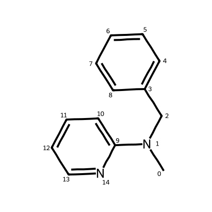 CN(Cc1ccccc1)c1ccccn1